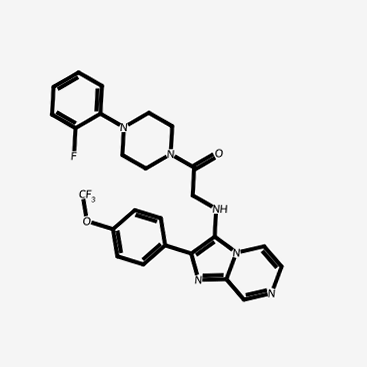 O=C(CNc1c(-c2ccc(OC(F)(F)F)cc2)nc2cnccn12)N1CCN(c2ccccc2F)CC1